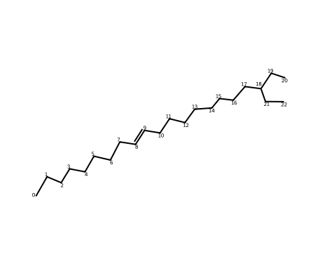 CCCCCCCCC=CCCCCCCCCC(CC)CC